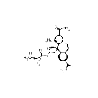 CC(C)(C)OC(=O)NCCC1(C(=O)NN)c2ccc(C(N)=O)cc2CCc2cc(C(N)=O)ccc21